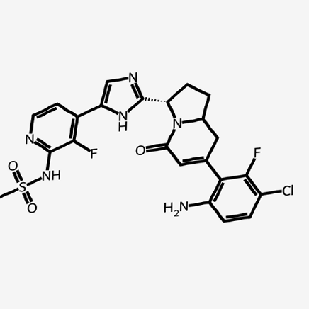 CS(=O)(=O)Nc1nccc(-c2cnc([C@@H]3CCC4CC(c5c(N)ccc(Cl)c5F)=CC(=O)N43)[nH]2)c1F